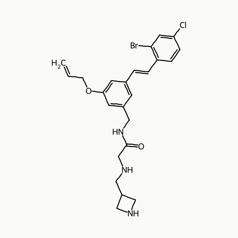 C=CCOc1cc(/C=C/c2ccc(Cl)cc2Br)cc(CNC(=O)CNCC2CNC2)c1